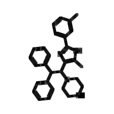 Cc1cccc(-c2nc(C(C(c3ccccc3)c3ccccc3)N3CCNCC3)c(C)[nH]2)c1